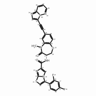 CN1C(=O)[C@@H](NC(=O)c2cn3c(-c4ccc(F)cc4F)csc3n2)COc2ccc(C#Cc3cnc4cccnn34)cc21